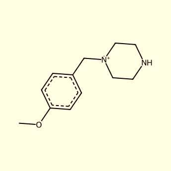 COc1ccc(C[N+]2CCNCC2)cc1